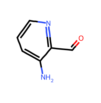 Nc1cccnc1C=O